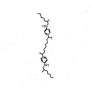 CCCCCC(C)CNc1cc[n+](C(I)CCCCCCC(I)[n+]2ccc(NCC(C)CCCCC)cc2)cc1